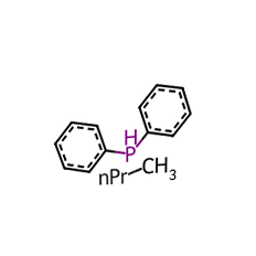 CCCC.c1ccc(Pc2ccccc2)cc1